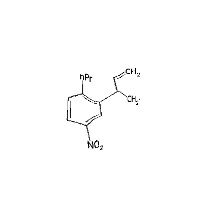 [CH2]C(C=C)c1cc([N+](=O)[O-])ccc1CCC